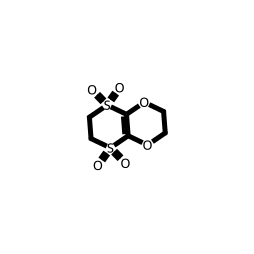 O=S1(=O)CCS(=O)(=O)C2=C1OCCO2